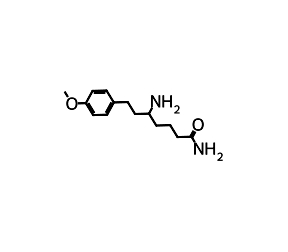 COc1ccc(CCC(N)CCCC(N)=O)cc1